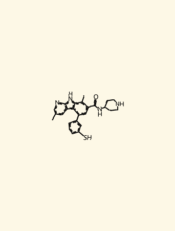 Cc1cnc2[nH]c3c(C)c(C(=O)NC4CCNCC4)cc(-c4cccc(S)c4)c3c2c1